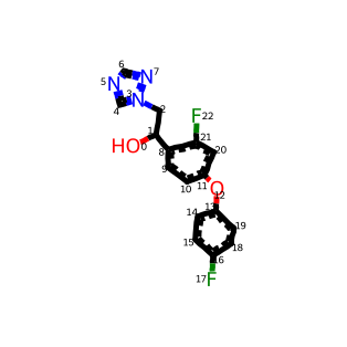 OC(Cn1cncn1)c1ccc(Oc2ccc(F)cc2)cc1F